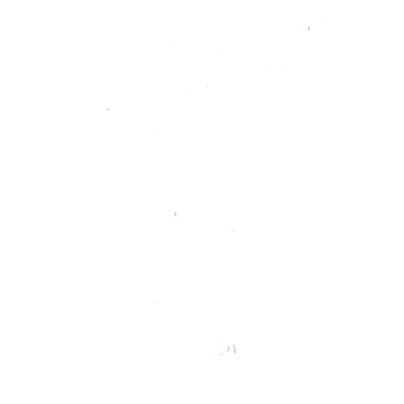 CC(C)(C)c1ccc2cc3c(cc2c1)CC(=O)CC31CC2C=CC1C2